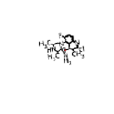 Cc1c(Cl)nc2ccc(F)c(N3CC(C)NC(C)C3)c2c1C(N)=O